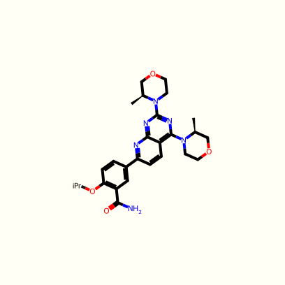 CC(C)Oc1ccc(-c2ccc3c(N4CCOC[C@@H]4C)nc(N4CCOC[C@@H]4C)nc3n2)cc1C(N)=O